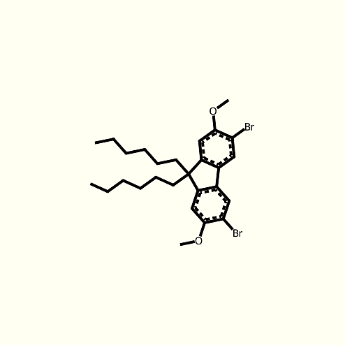 CCCCCCC1(CCCCCC)c2cc(OC)c(Br)cc2-c2cc(Br)c(OC)cc21